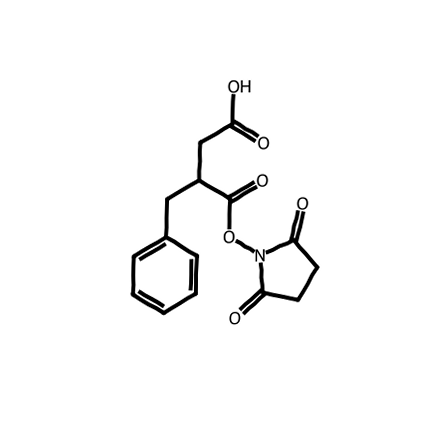 O=C(O)CC(Cc1ccccc1)C(=O)ON1C(=O)CCC1=O